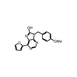 COc1ccc(Cn2c(O)nc3c(-c4ccco4)ncnc32)cc1